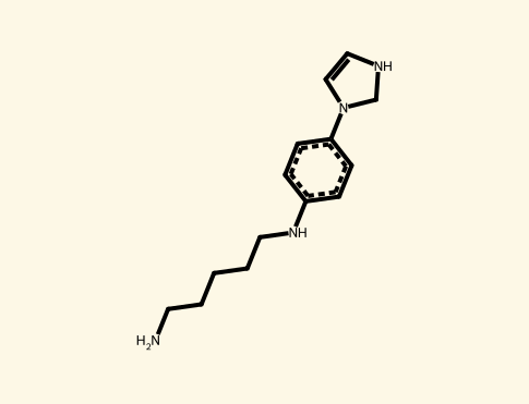 NCCCCCNc1ccc(N2C=CNC2)cc1